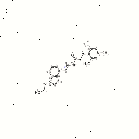 Cc1cc(C)c(OCC(=O)N/N=C/c2cccc3c2ccn3CCO)c(C)c1